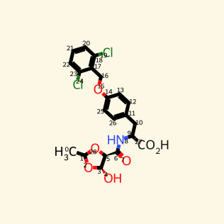 CC1O[C@H](O)[C@H](C(=O)NC(Cc2ccc(OCc3c(Cl)cccc3Cl)cc2)C(=O)O)O1